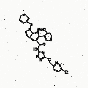 CCc1ccc(COc2nnc(NC(=O)c3cc4ccn(Sc5ccccc5)c4nc3-c3ccccc3OC)s2)nc1